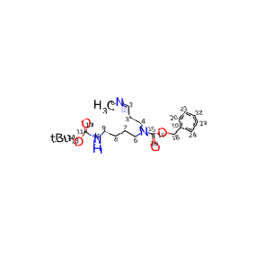 C/N=C\CCN(CCCCNC(=O)OC(C)(C)C)C(=O)OCc1ccccc1